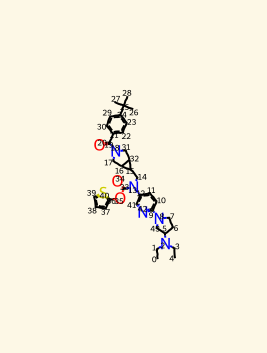 CCN(CC)C1CCN(c2ccc(N(CC3C4CN(C(=O)c5ccc(C(C)(C)C)cc5)CC43)C(=O)Oc3cccs3)cn2)C1